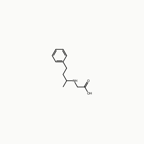 CC(CCc1ccccc1)NCC(=O)O